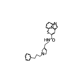 O=C(NCCC1=CCN(CCCc2ccccc2)C1)C1=Cc2cnc3cccc(n23)S1